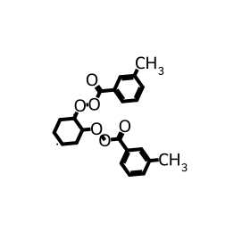 Cc1cccc(C(=O)OO[C]2CC[CH]CC2OOC(=O)c2cccc(C)c2)c1